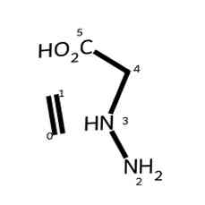 C=C.NNCC(=O)O